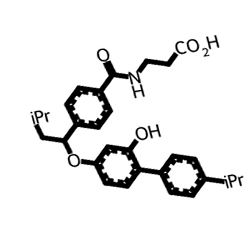 CC(C)CC(Oc1ccc(-c2ccc(C(C)C)cc2)c(O)c1)c1ccc(C(=O)NCCC(=O)O)cc1